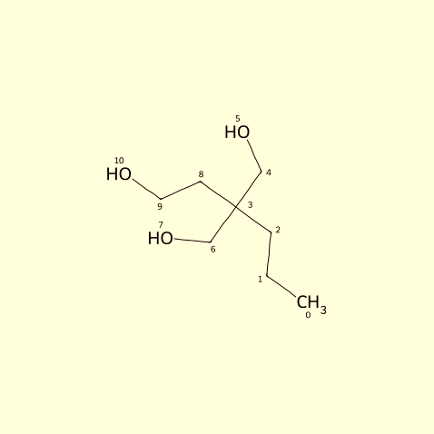 CCCC(CO)(CO)CCO